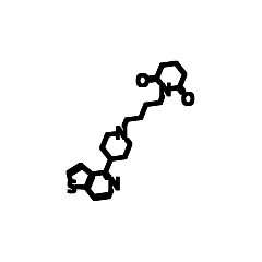 O=C1CCCC(=O)N1CCCCN1CCC(c2nccc3sccc23)CC1